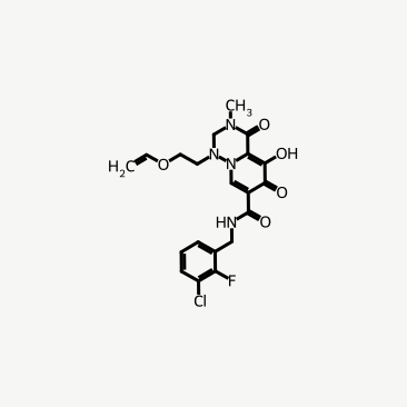 C=COCCN1CN(C)C(=O)c2c(O)c(=O)c(C(=O)NCc3cccc(Cl)c3F)cn21